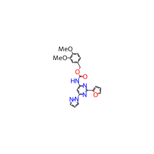 COc1ccc(COC(=O)Nc2cc(-n3cccn3)nc(-c3ccco3)n2)cc1OC